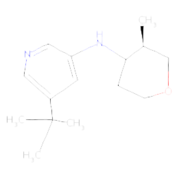 C[C@H]1COCCC1Nc1cncc(C(C)(C)C)c1